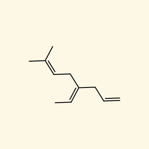 C=CCC(=CC)CC=C(C)C